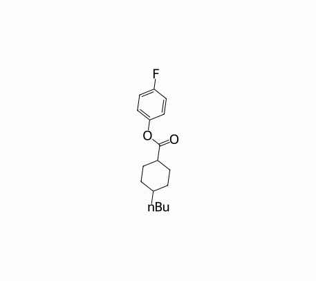 CCCCC1CCC(C(=O)Oc2ccc(F)cc2)CC1